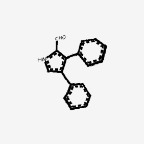 O=Cc1[nH]cc(-c2ccccc2)c1-c1ccccc1